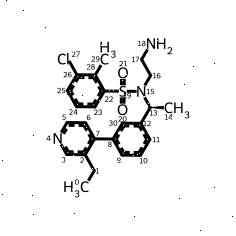 CCc1cnccc1-c1cccc([C@H](C)N(CCN)S(=O)(=O)c2cc[c]c(Cl)c2C)c1